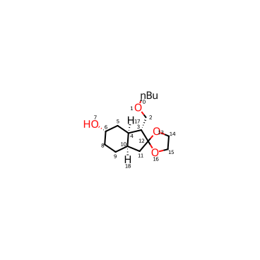 CCCCOC[C@H]1[C@@H]2C[C@@H](O)CC[C@@H]2CC12OCCO2